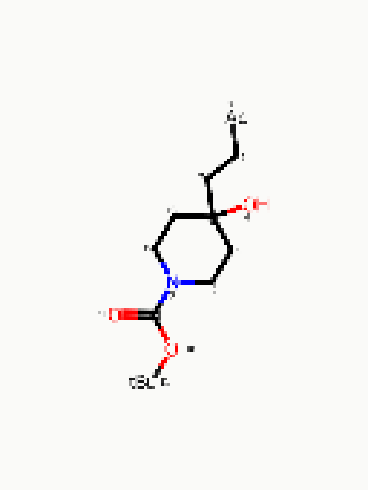 CC(=O)CCC1(O)CCN(C(=O)OC(C)(C)C)CC1